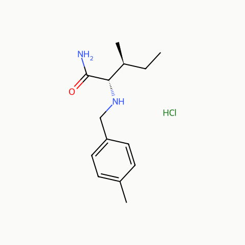 CC[C@H](C)[C@H](NCc1ccc(C)cc1)C(N)=O.Cl